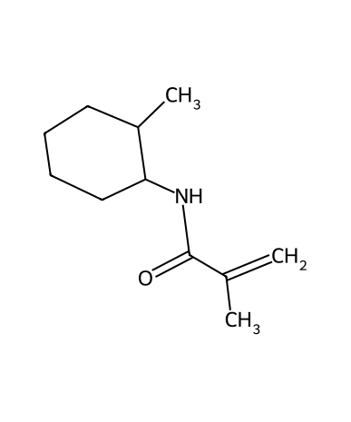 C=C(C)C(=O)NC1CCCCC1C